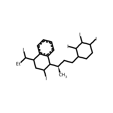 CCC(I)C1CC(I)C([C@H](C)CCC2CCC(I)C(I)C2I)c2ccccc21